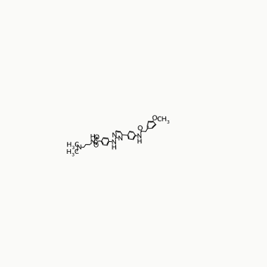 COc1ccc(CC(=O)Nc2ccc(-c3ccnc(Nc4ccc(S(=O)(=O)NCCCN(C)C)cc4)n3)cc2)cc1